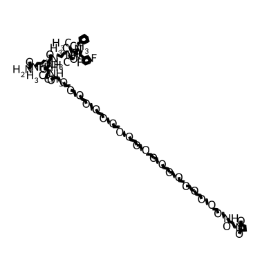 CC(=O)N(CCCNC(=O)[C@H](CCCNC(N)=O)NC(=O)C(NC(=O)CCOCCOCCOCCOCCOCCOCCOCCOCCOCCOCCOCCOCCOCCOCCOCCOCCOCCOCCOCCOCCNC(=O)CCN1C(=O)C=CC1=O)C(C)C)[C@@H](c1nc(-c2cc(F)ccc2F)cn1Cc1ccccc1)C(C)(C)C